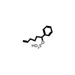 C=CCCCC(OS(=O)(=O)O)c1ccccc1